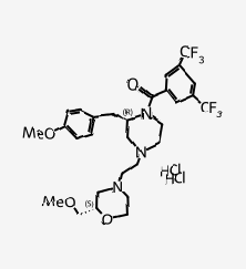 COC[C@@H]1CN(CCN2CCN(C(=O)c3cc(C(F)(F)F)cc(C(F)(F)F)c3)[C@H](Cc3ccc(OC)cc3)C2)CCO1.Cl.Cl